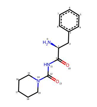 N[C@@H](Cc1ccccc1)C(=O)NC(=O)N1CCCCC1